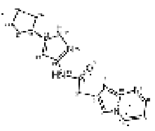 O=C(Cc1cn2cccnc2n1)Nc1cc([C@H]2C[CH]CC2)[nH]n1